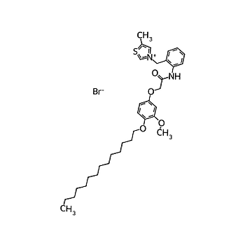 CCCCCCCCCCCCCCOc1ccc(OCC(=O)Nc2ccccc2C[n+]2csc(C)c2)cc1OC.[Br-]